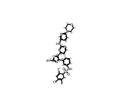 CC1=C(Cl)C=C(F)C(S(=O)(=O)Nc2cccc(-c3nc(C(C)C)sc3-c3ccnc(Nc4ccc(N5CCOCC5)nc4)n3)c2)C1